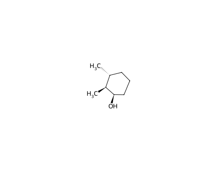 C[C@H]1[C@H](C)CCC[C@H]1O